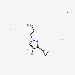 COCCn1cc(Br)c(C2CC2)c1